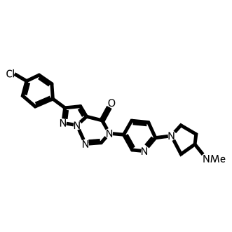 CNC1CCN(c2ccc(-n3cnn4nc(-c5ccc(Cl)cc5)cc4c3=O)cn2)C1